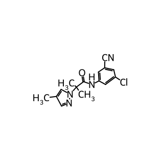 Cc1cnn(C(C)(C)C(=O)Nc2cc(Cl)cc(C#N)c2)c1